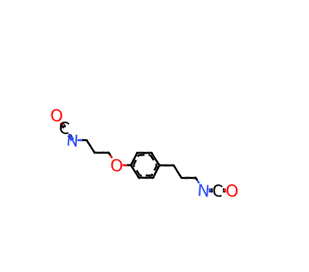 O=C=NCCCOc1ccc(CCCN=C=O)cc1